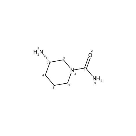 NC(=O)N1CCC[C@H](N)C1